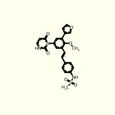 COc1c(/C=C/c2ccc(NS(C)(=O)=O)cc2)cc(-n2c(=O)cc[nH]c2=O)cc1-c1ccoc1